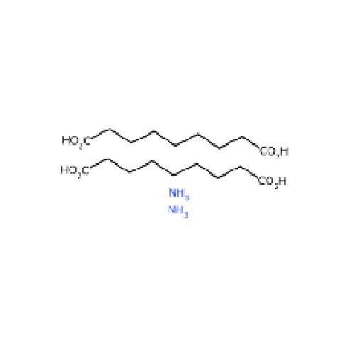 N.N.O=C(O)CCCCCCCC(=O)O.O=C(O)CCCCCCCC(=O)O